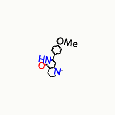 COc1ccc(-c2cc3c(c(=O)[nH]2)CCCN3C)cc1